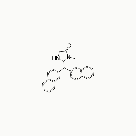 CN1C(=O)CN[C@@H]1C(c1ccc2ccccc2c1)c1ccc2ccccc2c1